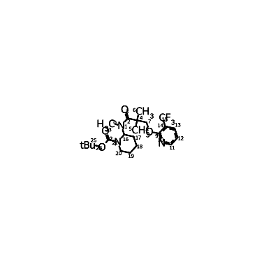 CN(C(=O)C(C)(C)COc1ncccc1C(F)(F)F)C1CCCCN1C(=O)OC(C)(C)C